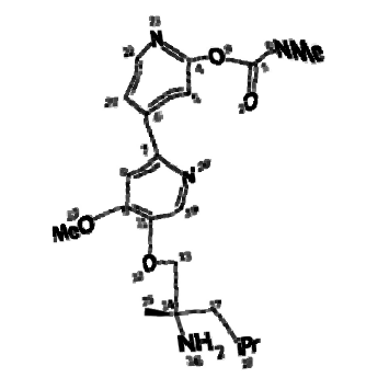 CNC(=O)Oc1cc(-c2cc(OC)c(OC[C@@](C)(N)CC(C)C)cn2)ccn1